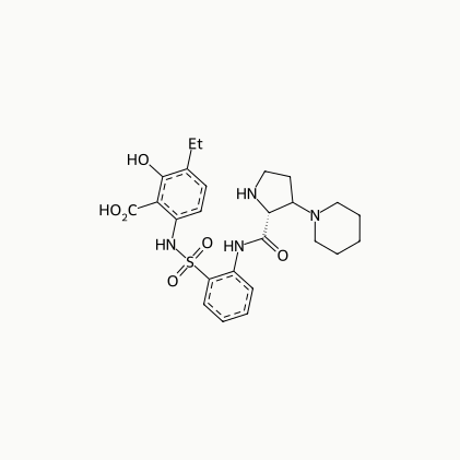 CCc1ccc(NS(=O)(=O)c2ccccc2NC(=O)[C@@H]2NCCC2N2CCCCC2)c(C(=O)O)c1O